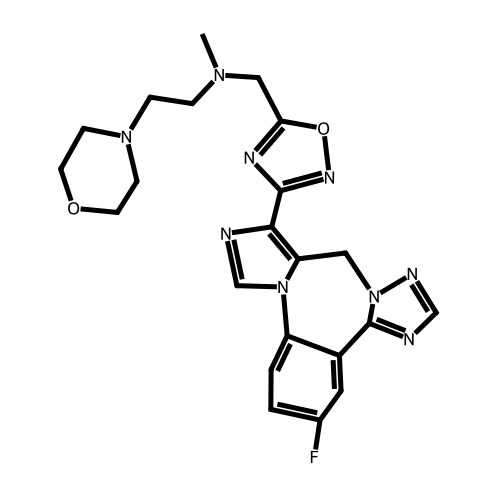 CN(CCN1CCOCC1)Cc1nc(-c2ncn3c2Cn2ncnc2-c2cc(F)ccc2-3)no1